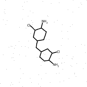 NC1CCC(CC2CCC(N)C(Cl)C2)CC1Cl